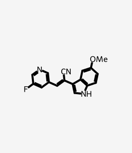 COc1ccc2[nH]cc(/C(C#N)=C/c3cncc(F)c3)c2c1